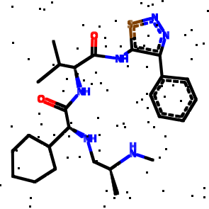 CN[C@@H](C)CN[C@H](C(=O)N[C@H](C(=O)Nc1snnc1-c1ccccc1)C(C)C)C1CCCCC1